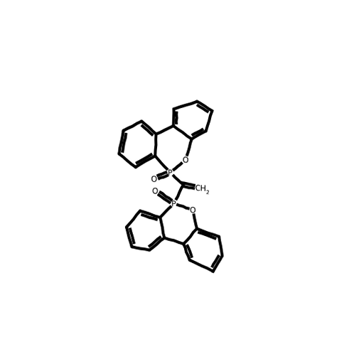 C=C(P1(=O)Oc2ccccc2-c2ccccc21)P1(=O)Oc2ccccc2-c2ccccc21